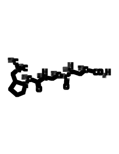 [13CH3]N([13CH3])CC1CCCN1[13CH2]C(=O)[15NH]C[13CH2][13C](=O)[15NH]C[13CH2][13C](=O)O